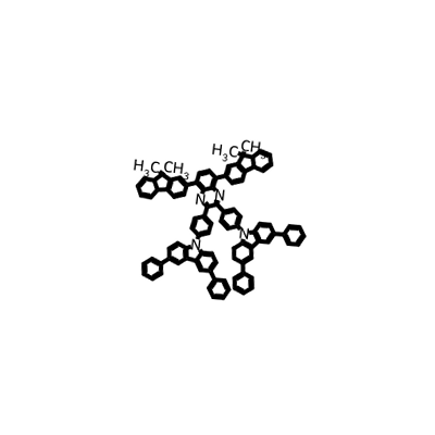 CC1(C)c2cc(-c3ccc(-c4ccc5c(c4)C(C)(C)C4C=CC=CC54)c4nc(-c5ccc(-n6c7ccc(-c8ccccc8)cc7c7cc(-c8ccccc8)ccc76)cc5)c(-c5ccc(-n6c7c(c8cc(-c9ccccc9)ccc86)C=C(c6ccccc6)CC7)cc5)nc34)ccc2C2C=CC=CC21